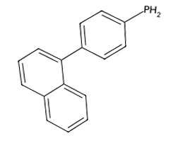 Pc1ccc(-c2cccc3ccccc23)cc1